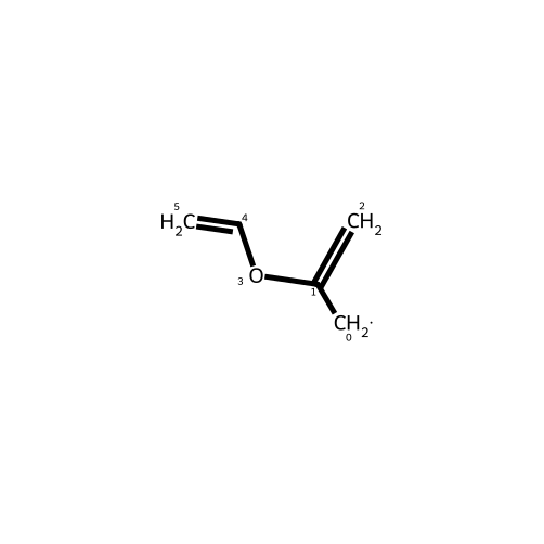 [CH2]C(=C)OC=C